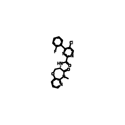 CN1C(=O)[C@@H](NC(=O)c2ncc(Cl)c(-c3ccccc3F)n2)COc2cccnc21